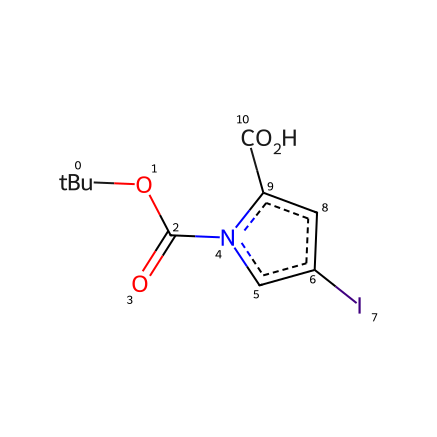 CC(C)(C)OC(=O)n1cc(I)cc1C(=O)O